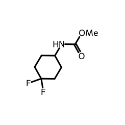 COC(=O)NC1CCC(F)(F)CC1